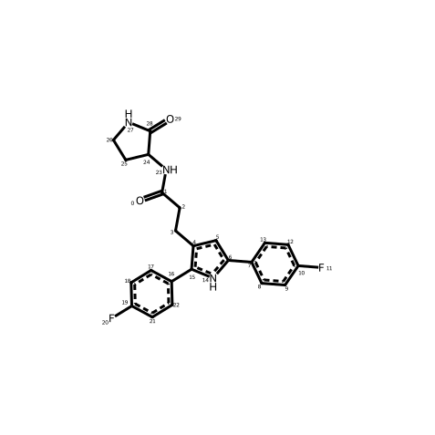 O=C(CCc1cc(-c2ccc(F)cc2)[nH]c1-c1ccc(F)cc1)NC1CCNC1=O